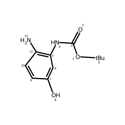 CC(C)(C)OC(=O)Nc1cc(O)ccc1N